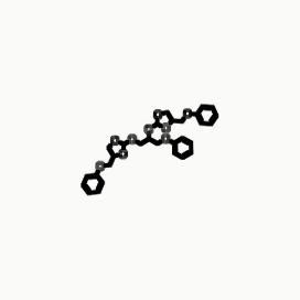 c1ccc(OCC2COC(OCC(COc3ccccc3)OC3OCC(COc4ccccc4)O3)O2)cc1